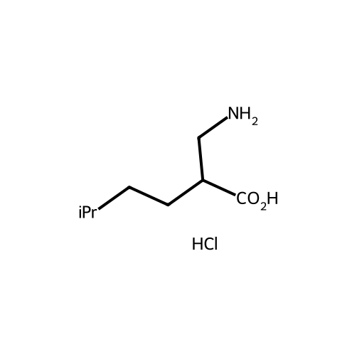 CC(C)CCC(CN)C(=O)O.Cl